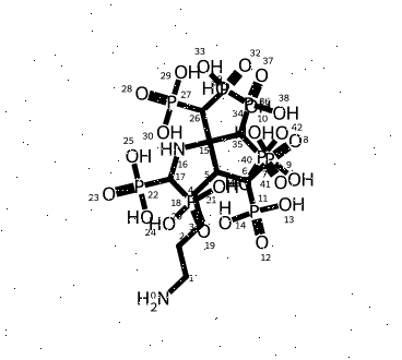 NCCCCC(C(P(=O)(O)O)P(=O)(O)O)C(NC(P(=O)(O)O)P(=O)(O)O)(C(P(=O)(O)O)P(=O)(O)O)C(P(=O)(O)O)P(=O)(O)O